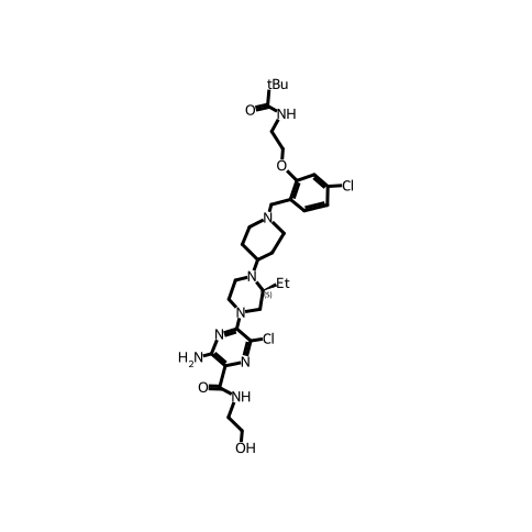 CC[C@H]1CN(c2nc(N)c(C(=O)NCCO)nc2Cl)CCN1C1CCN(Cc2ccc(Cl)cc2OCCNC(=O)C(C)(C)C)CC1